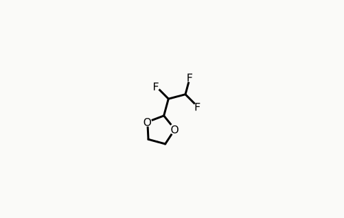 FC(F)C(F)C1OCCO1